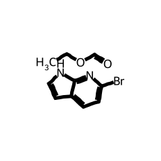 Brc1ccc2cc[nH]c2n1.CCOC=O